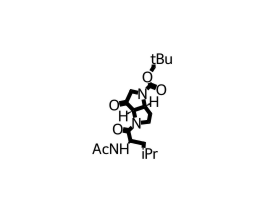 CC(=O)N[C@@H](CC(C)C)C(=O)N1CC[C@H]2[C@@H]1C(=O)CN2C(=O)OCC(C)(C)C